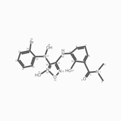 CN(C)C(=O)c1cccc(Nc2no[n+](O)c2N(O)c2ccccc2Br)c1O